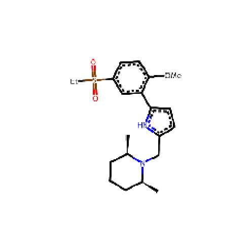 CCS(=O)(=O)c1ccc(OC)c(-c2ccc(CN3[C@H](C)CCC[C@@H]3C)[nH]2)c1